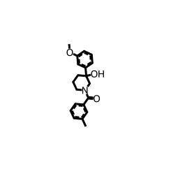 COc1cccc(C2(O)CCCN(C(=O)c3cccc(C)c3)C2)c1